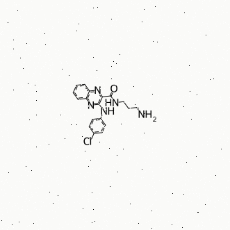 NCCCNC(=O)c1nc2ccccc2nc1Nc1ccc(Cl)cc1